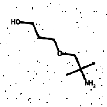 CC(C)(N)COCCCO